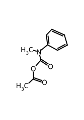 CC(=O)OC(=O)N(C)c1ccccc1